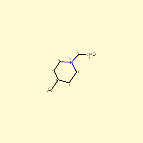 CC(=O)C1CCN(CC=O)CC1